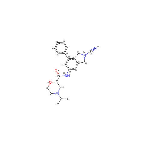 CC(C)N1CCOC(C(=O)Nc2cc3c(c(-c4ccccc4)c2)CN(C#N)C3)C1